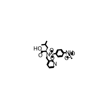 CC(C)C[C@H](C(=O)O)N(Cc1cccnc1)S(=O)(=O)c1ccc(NS(C)(=O)=O)cc1